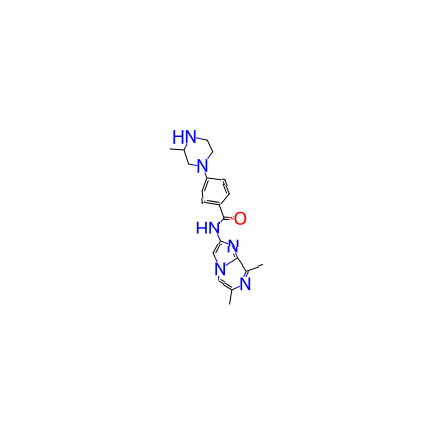 Cc1cn2cc(NC(=O)c3ccc(N4CCNC(C)C4)cc3)nc2c(C)n1